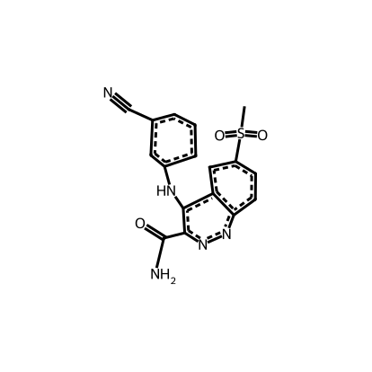 CS(=O)(=O)c1ccc2nnc(C(N)=O)c(Nc3cccc(C#N)c3)c2c1